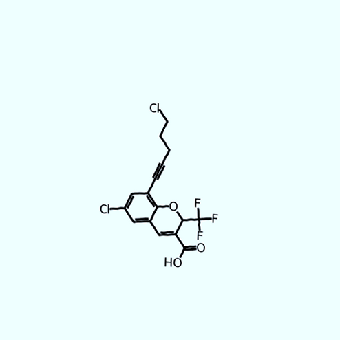 O=C(O)C1=Cc2cc(Cl)cc(C#CCCCCl)c2OC1C(F)(F)F